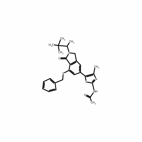 CC(=O)Nc1nc(C)c(-c2cc3c(c(SCc4ccccc4)c2)C(=O)N(C(C)C(C)(C)C)C3)s1